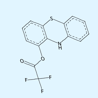 O=C(Oc1cccc2c1Nc1ccccc1S2)C(F)(F)F